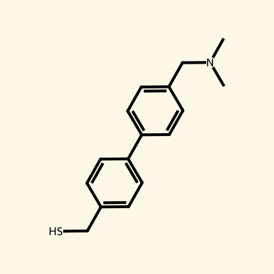 CN(C)Cc1ccc(-c2ccc(CS)cc2)cc1